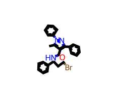 Cc1c(C(=O)NC(CCBr)c2ccccc2)c(-c2ccccc2)nn1-c1ccccc1